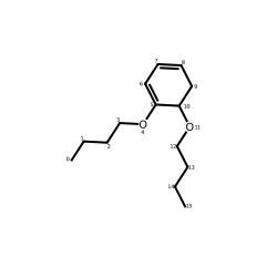 CCCCOC1=CC=CCC1OCCCC